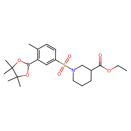 CCOC(=O)C1CCCN(S(=O)(=O)c2ccc(C)c(B3OC(C)(C)C(C)(C)O3)c2)C1